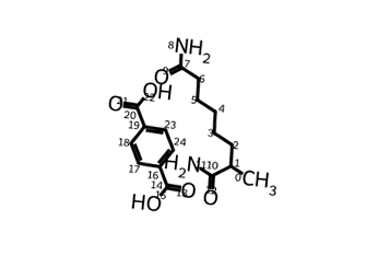 CC(CCCCCC(N)=O)C(N)=O.O=C(O)c1ccc(C(=O)O)cc1